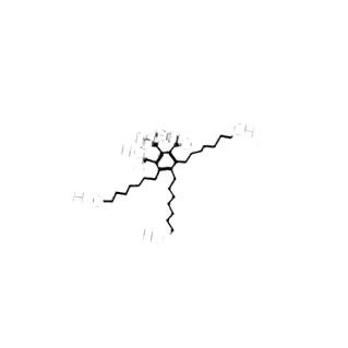 CCCCCCCCc1c(CCCCCCCC)c(C(=O)O)c(C(=O)O)c(C(=O)O)c1CCCCCCCC.P